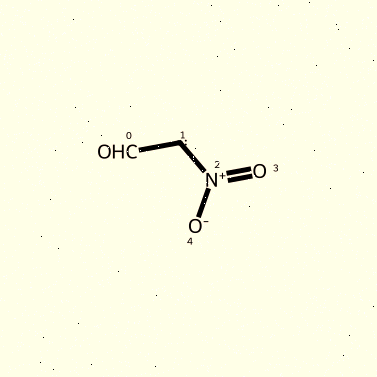 O=C[C][N+](=O)[O-]